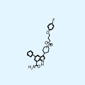 NC(=O)c1cc(-c2ccccc2)cc2c(C3CCN(S(=O)(=O)CCCOc4ccc(F)cc4)CC3)c[nH]c12